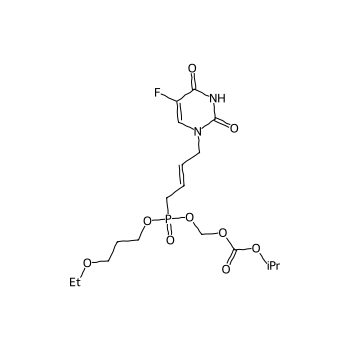 CCOCCCOP(=O)(C/C=C/Cn1cc(F)c(=O)[nH]c1=O)OCOC(=O)OC(C)C